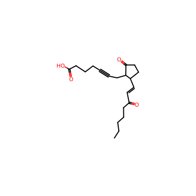 CCCCCC(=O)C=CC1CCC(=O)C1CC#CCCCC(=O)O